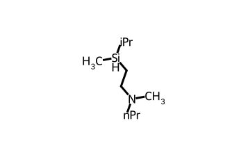 CCCN(C)CC[SiH](C)C(C)C